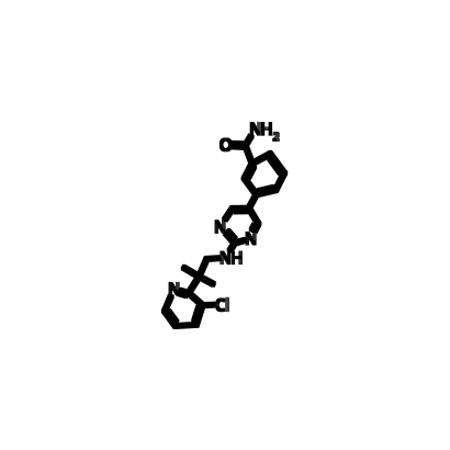 CC(C)(CNc1ncc(-c2cccc(C(N)=O)c2)cn1)c1ncccc1Cl